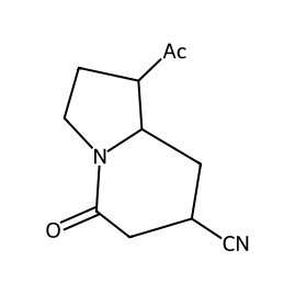 CC(=O)C1CCN2C(=O)CC(C#N)CC12